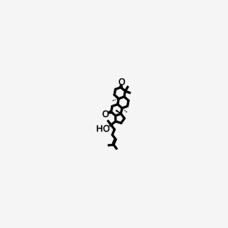 CC(C)=CCCC(C)(O)C1CC[C@]2(C)C1C(=O)CC1[C@@]3(C)CCC(=O)C(C)(C)C3CC[C@]12C